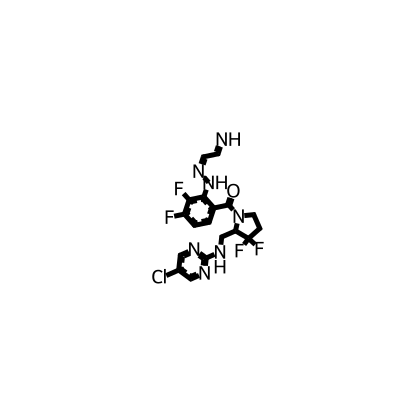 N=C/C=N\Nc1c(C(=O)N2CCC(F)(F)C2CNc2ncc(Cl)cn2)ccc(F)c1F